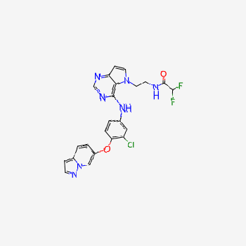 O=C(NCCn1ccc2ncnc(Nc3ccc(Oc4ccc5ccnn5c4)c(Cl)c3)c21)C(F)F